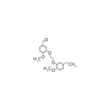 CCc1ccc(OC)c(OCCOc2cc(C=O)ccc2OC)c1